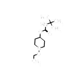 CCON1CCC(OC(=O)NC(C)(C)C)CC1